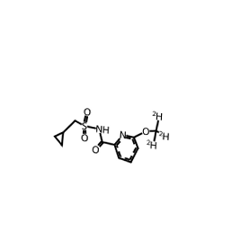 [2H]C([2H])([2H])Oc1cccc(C(=O)NS(=O)(=O)CC2CC2)n1